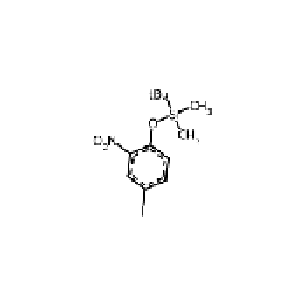 CC(C)(C)[Si](C)(C)Oc1ccc(I)cc1[N+](=O)[O-]